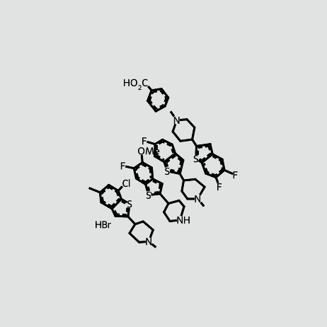 Br.CN1CCC(c2cc3cc(F)c(F)cc3s2)CC1.CN1CCC(c2cc3ccc(F)cc3s2)CC1.COc1cc2cc(C3CCNCC3)sc2cc1F.Cc1cc(Cl)c2sc(C3CCN(C)CC3)cc2c1.O=C(O)c1ccccc1